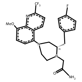 COc1ccc(N2CCN(CC(N)=O)[C@@H](Cc3ccc(F)cc3)C2)c2ccc(C(F)(F)F)nc12